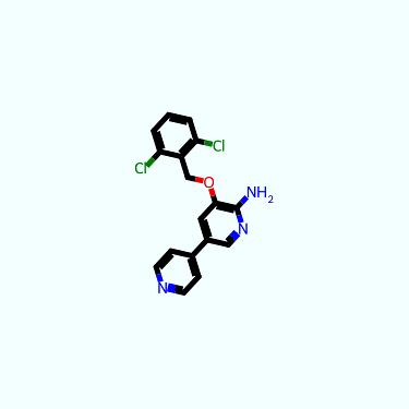 Nc1ncc(-c2ccncc2)cc1OCc1c(Cl)cccc1Cl